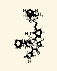 Cc1c(CCB2O[C@@H]3C[C@@H]4C[C@@H](C4(C)C)[C@]3(C)O2)ccc(OC2CN(C(=O)C(NCC(=O)c3ccccc3)c3c[nH]cn3)C2)c1C(=O)OC(C)(C)C